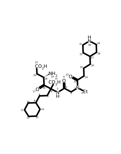 CCN(CC(=O)NC(CCC1CCCCC1)(C(=O)O)C(=O)[C@@H](N)CC(=O)O)C(=O)CCCC1CCNCC1